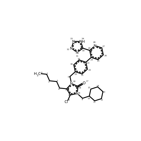 CCCCCc1c(Cl)n(CC2CCCCC2)c(=O)n1Cc1ccc(-c2cccnc2-c2nnn[nH]2)cc1